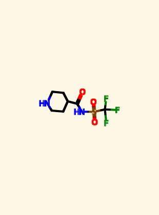 O=C(NS(=O)(=O)C(F)(F)F)C1CCNCC1